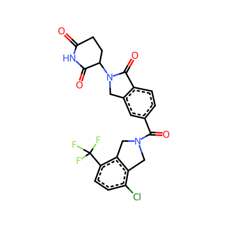 O=C1CCC(N2Cc3cc(C(=O)N4Cc5c(Cl)ccc(C(F)(F)F)c5C4)ccc3C2=O)C(=O)N1